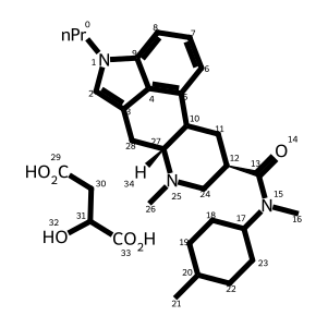 CCCn1cc2c3c(cccc31)C1C[C@@H](C(=O)N(C)C3CCC(C)CC3)CN(C)[C@@H]1C2.O=C(O)CC(O)C(=O)O